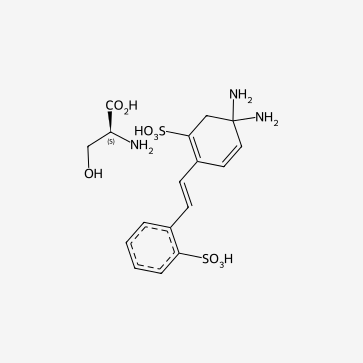 NC1(N)C=CC(C=Cc2ccccc2S(=O)(=O)O)=C(S(=O)(=O)O)C1.N[C@@H](CO)C(=O)O